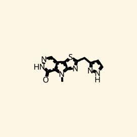 Cn1c2nc(Cc3cc[nH]n3)sc2c2cn[nH]c(=O)c21